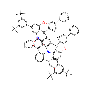 CC(C)(C)c1cc(-c2cc3c4c(c2)N(c2ccccc2)c2cc5c(cc2B4c2ccc(-c4ccccc4)cc2O3)B2c3ccc(-c4ccccc4)cc3Oc3cc(-c4cc(C(C)(C)C)cc(C(C)(C)C)c4)cc(c32)N5c2c(-c3ccccc3)cccc2-c2ccccc2)cc(C(C)(C)C)c1